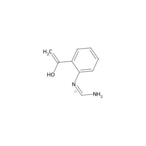 C=C(O)c1ccccc1/N=C\N